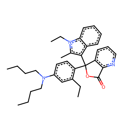 CCCCN(CCCC)c1ccc(C2(c3c(C)n(CC)c4ccccc34)OC(=O)c3ncccc32)c(CC)c1